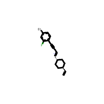 C=C[C@H]1CC[C@H](/C=C/C#Cc2ccc(CC)cc2F)CC1